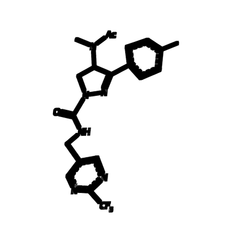 CC(=O)N(C)C1CN(C(=O)NCc2cnc(C(F)(F)F)nc2)N=C1c1ccc(C)cc1